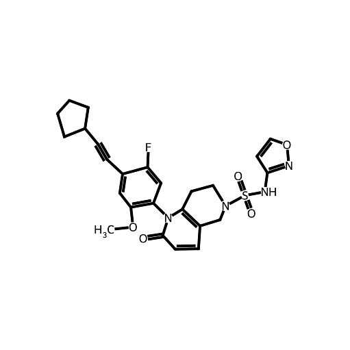 COc1cc(C#CC2CCCC2)c(F)cc1-n1c2c(ccc1=O)CN(S(=O)(=O)Nc1ccon1)CC2